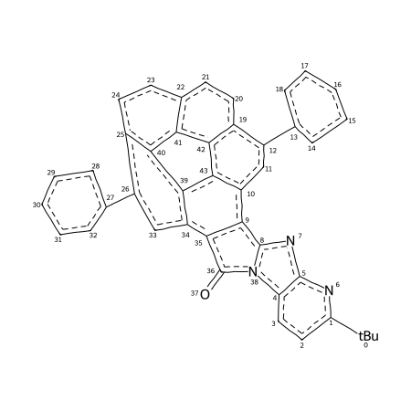 CC(C)(C)c1ccc2c(n1)nc1c3c4cc(-c5ccccc5)c5ccc6ccc7c(-c8ccccc8)cc(c3c(=O)n21)c1c7c6c5c41